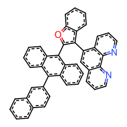 c1ccc2cc(-c3c4ccccc4c(-c4oc5ccccc5c4-c4cc5cccnc5c5ncccc45)c4ccccc34)ccc2c1